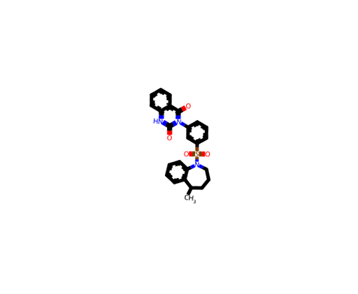 CC1CCCN(S(=O)(=O)c2cccc(-n3c(=O)[nH]c4ccccc4c3=O)c2)c2ccccc21